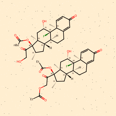 CCC(=O)OCC(=O)[C@@]1(OC(=O)CC)[C@@H](C)C[C@H]2[C@@H]3CCC4=CC(=O)C=C[C@]4(C)[C@@]3(F)[C@@H](O)C[C@@]21C.CCCCC(=O)O[C@]1(C(=O)CO)[C@@H](C)C[C@H]2[C@@H]3CCC4=CC(=O)C=C[C@]4(C)[C@@]3(F)[C@@H](O)C[C@@]21C